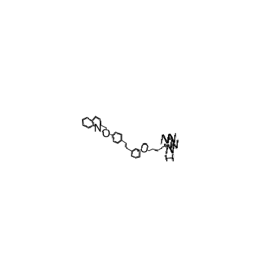 C(=Cc1cccc(OCCCc2nnn[nH]2)c1)c1ccc(OCc2ccc3ccccc3n2)cc1